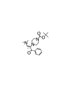 CN(C)/C=C(/C(=O)c1ccccc1)N1CCN(C(=O)OC(C)(C)C)CC1